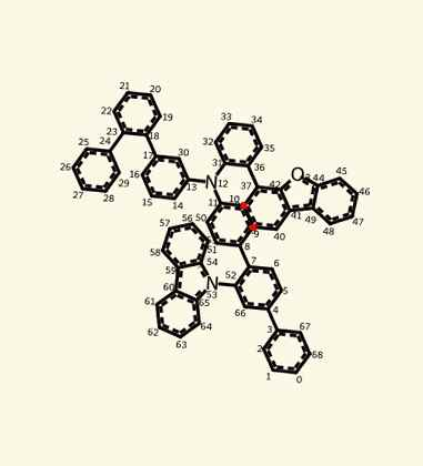 c1ccc(-c2ccc(-c3ccc(N(c4cccc(-c5ccccc5-c5ccccc5)c4)c4ccccc4-c4cccc5c4oc4ccccc45)cc3)c(-n3c4ccccc4c4ccccc43)c2)cc1